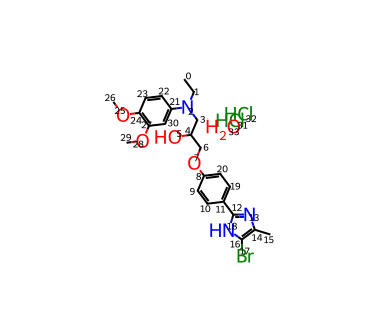 CCN(CC(O)COc1ccc(-c2nc(C)c(Br)[nH]2)cc1)c1ccc(OC)c(OC)c1.Cl.Cl.O